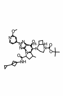 COc1cc(-n2nc3c(=O)c(N4CCN(C(=O)OC(C)(C)C)[C@H]5CC[C@@H]54)c4n(c3n2)C(C(=O)NC23CC(C5CC5)(C2)C3)CC4C)ccn1